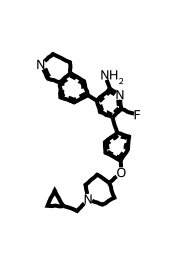 Nc1nc(F)c(-c2ccc(OC3CCN(CC4CC4)CC3)cc2)cc1-c1ccc2c(c1)CCN=C2